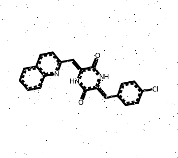 O=c1[nH]c(=Cc2ccc3ccccc3n2)c(=O)[nH]c1=Cc1ccc(Cl)cc1